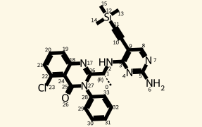 C[C@@H](Nc1nc(N)ncc1C#C[Si](C)(C)C)c1nc2cccc(Cl)c2c(=O)n1-c1ccccc1